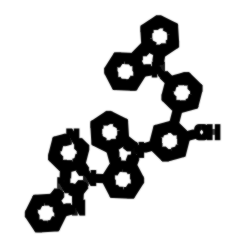 Oc1ccc(-n2c3ccccc3c3c(-n4c5cnccc5n5c6ccccc6nc45)cccc32)cc1-c1cccc(-n2c3ccccc3c3ccccc32)c1